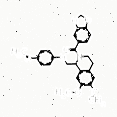 COc1ccc(OCC2c3cc(OC)c(OC)cc3CCN2C(=O)c2ccc3c(c2)OCO3)cc1